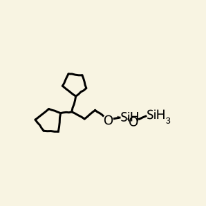 [SiH3]O[SiH]OCCC(C1CCCC1)C1CCCC1